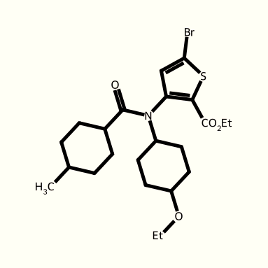 CCOC(=O)c1sc(Br)cc1N(C(=O)C1CCC(C)CC1)C1CCC(OCC)CC1